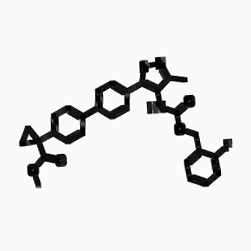 COC(=O)C1(c2ccc(-c3ccc(-c4snc(C)c4NC(=O)OCc4ccccc4F)cc3)cc2)CC1